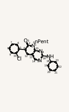 CCCCCn1c(=O)c(-c2ccccc2Cl)cc2cnc(Nc3ccccc3)nc21